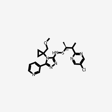 COCC1(n2c(NS[C@@H](C)C(C)c3ncc(Cl)cn3)nnc2-c2cccnc2)CC1